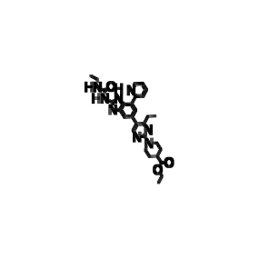 CCNC(=O)Nc1nc2cc(-c3cnc(N4CCC(C(=O)OCC)CC4)nc3CC)cc(-c3ccccn3)c2[nH]1